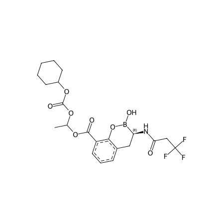 CC(OC(=O)OC1CCCCC1)OC(=O)c1cccc2c1OB(O)[C@@H](NC(=O)CC(F)(F)F)C2